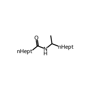 CCCCCCCC(=O)NC(C)CCCCCCC